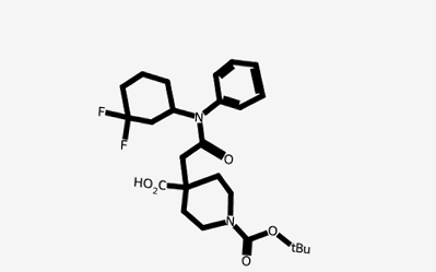 CC(C)(C)OC(=O)N1CCC(CC(=O)N(c2ccccc2)C2CCCC(F)(F)C2)(C(=O)O)CC1